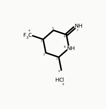 CC1CC(C(F)(F)F)CC(=N)N1.Cl